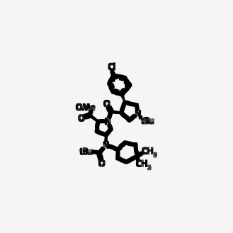 COC(=O)[C@@H]1C[C@H](N(C(=O)C(C)(C)C)C2CCC(C)(C)CC2)CN1C(=O)[C@@H]1CN(C(C)(C)C)C[C@H]1c1ccc(Cl)cc1